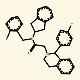 O=C(CN1CCc2ccccc2C1c1ccc(Cl)cc1)N(Cc1ccccc1F)C1Cc2ccccc2C1